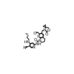 CSCCNc1cc(NC(=O)N2CCCc3cc(CN4C(=O)OCC45CC5)c(C=O)nc32)ncc1C#N